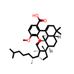 COc1ccc(C(=O)O)c(C2=CCC(C)(C)[C@@H]3CC[C@@H]4[C@]5(CC[C@]6(C)[C@@H]([C@H](C)CCCC(C)C)CC[C@@]46C)C[C@]235)c1OC